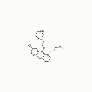 CCCC[C@@H]1CCCC(=Cc2ccc(Cl)cc2)C1=NOCC[C@H]1CNCCO1